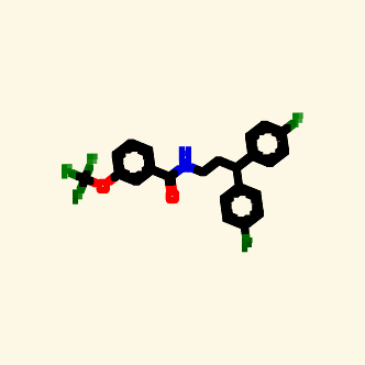 O=C(NCCC(c1ccc(F)cc1)c1ccc(F)cc1)c1cccc(OC(F)(F)F)c1